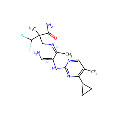 CC(=N/CC(C)(C(N)=O)C(F)F)/C(=C\N)Nc1ncc(C(F)(F)F)c(C2CC2)n1